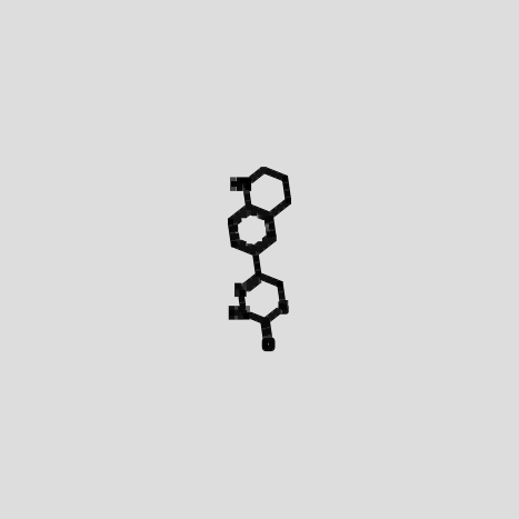 O=C1NN=C(c2ccc3c(c2)CCCN3)CS1